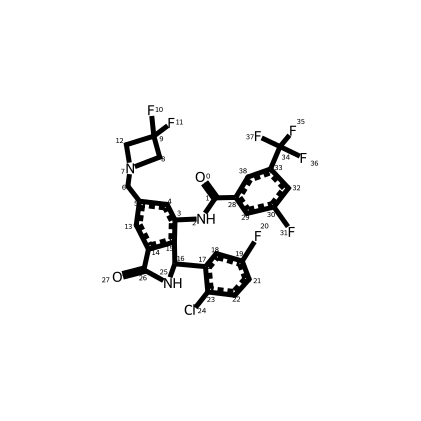 O=C(Nc1cc(CN2CC(F)(F)C2)cc2c1C(c1cc(F)ccc1Cl)NC2=O)c1cc(F)cc(C(F)(F)F)c1